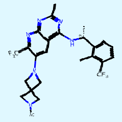 CC(=O)N1CC2(C1)CN(c1cc3c(N[C@H](C)c4cccc(C(F)(F)F)c4C)nc(C)nc3nc1C(F)(F)F)C2